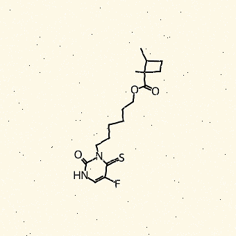 CC1CCC1(C)C(=O)OCCCCCCn1c(=O)[nH]cc(F)c1=S